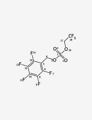 O=S(=O)(OCc1c(F)c(F)c(F)c(F)c1F)OCC(F)(F)F